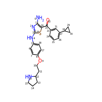 Nc1nc(Nc2ccc(OCCC3CCCN3)cc2)sc1C(=O)c1cccc(C2CC2)c1